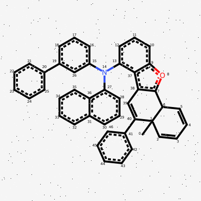 CC12C=CC=CC1c1oc3cccc(N(c4cccc(-c5ccccc5)c4)c4cccc5ccccc45)c3c1C=C2c1ccccc1